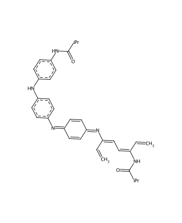 C=C/C(=C\C=C(/C=C)NC(=O)C(C)C)N=C1C=CC(=Nc2ccc(Nc3ccc(NC(=O)C(C)C)cc3)cc2)C=C1